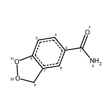 NC(=O)c1ccc2c(c1)COO2